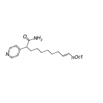 CCCCCCCCC=CCCCCCCC(C(N)=O)c1ccncc1